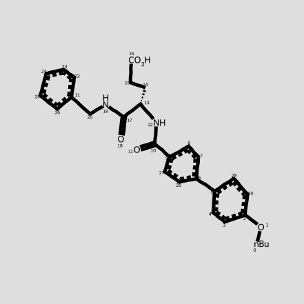 CCCCOc1ccc(-c2ccc(C(=O)N[C@@H](CCC(=O)O)C(=O)NCc3ccccc3)cc2)cc1